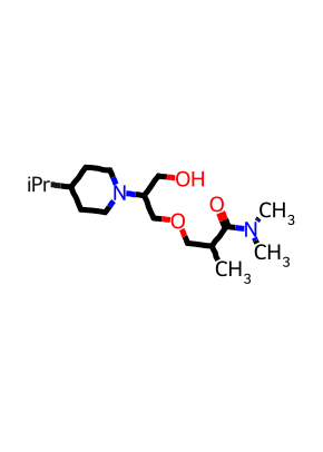 CC(COCC(CO)N1CCC(C(C)C)CC1)C(=O)N(C)C